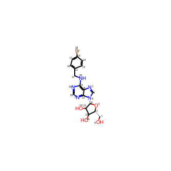 OC[C@H]1O[C@@H](n2cnc3c(NCc4ccc(Br)cc4)ncnc32)C(O)C1O